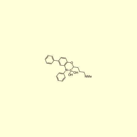 CNCCCC1Oc2ccc(-c3ccccc3)cc2N(c2ccccc2)S1(O)O